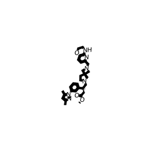 COC(=O)C[C@H](CN1CCC2(C1)CN(Cc1ccc3c(n1)NCCO3)C2)c1cccc(-n2nc(C)cc2C)c1